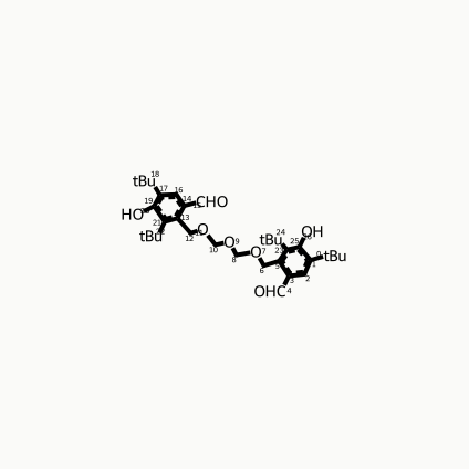 CC(C)(C)c1cc(C=O)c(COCOCOCc2c(C=O)cc(C(C)(C)C)c(O)c2C(C)(C)C)c(C(C)(C)C)c1O